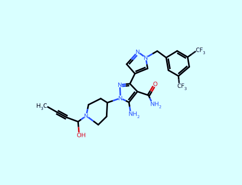 CC#CC(O)N1CCC(n2nc(-c3cnn(Cc4cc(C(F)(F)F)cc(C(F)(F)F)c4)c3)c(C(N)=O)c2N)CC1